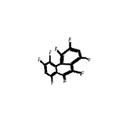 Fc1cc(F)c2c(F)c(F)c3c(F)cc(F)c(F)c3c2c1F